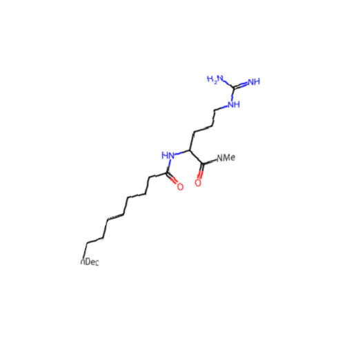 CCCCCCCCCCCCCCCCCC(=O)NC(CCCNC(=N)N)C(=O)NC